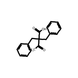 CC(=O)C(Cc1ccccc1)(Cc1ccccc1)C(=O)O